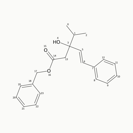 CC(C)C(O)(C=Cc1ccccc1)CC(=O)OCc1ccccc1